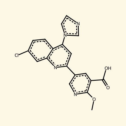 COc1ncc(-c2cc(-n3ccnc3)c3ccc(Cl)cc3n2)cc1C(=O)O